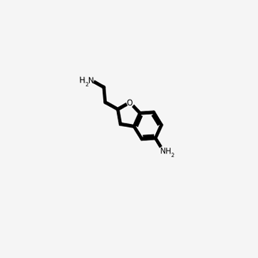 NCCC1Cc2cc(N)ccc2O1